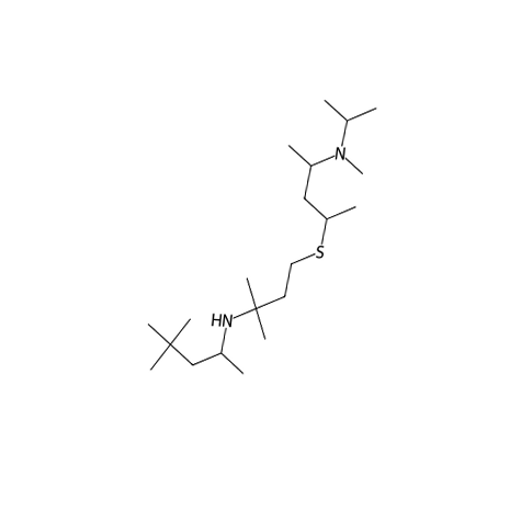 CC(CC(C)(C)C)NC(C)(C)CCSC(C)CC(C)N(C)C(C)C